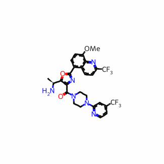 COc1ccc(-c2nc(C(=O)N3CCN(c4cc(C(F)(F)F)ccn4)CC3)c([C@H](C)N)o2)c2ccc(C(F)(F)F)nc12